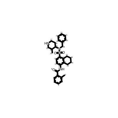 Cc1ccccc1C(=O)Nc1ccc(S(=O)(=O)N(Cc2ccccc2)C2CCNCC2C)c2c1CCCC2